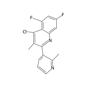 Cc1ncccc1-c1nc2cc(F)cc(F)c2c(Cl)c1C